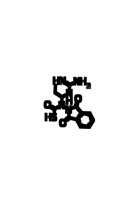 CCC(NC(=N)N)N(C(=O)S)N1C(=O)c2ccccc2C1=O